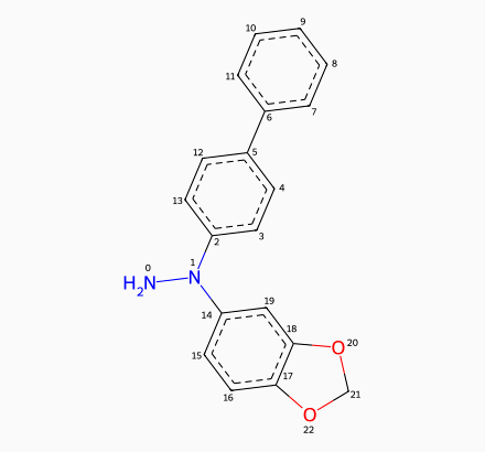 NN(c1ccc(-c2ccccc2)cc1)c1ccc2c(c1)OCO2